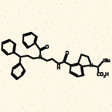 CC(C)(C)C(C(=O)O)N1CCc2c(C(=O)NCCN(CCC(c3ccccc3)c3ccccc3)C(=O)c3ccccc3)cccc21